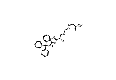 COC(COCO/N=C\C(=O)O)c1nsc(NC(c2ccccc2)(c2ccccc2)c2ccccc2)n1